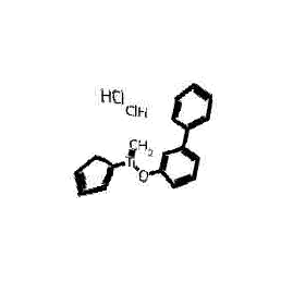 Cl.Cl.[CH2]=[Ti]([O]c1cccc(-c2ccccc2)c1)[C]1=CC=CC1